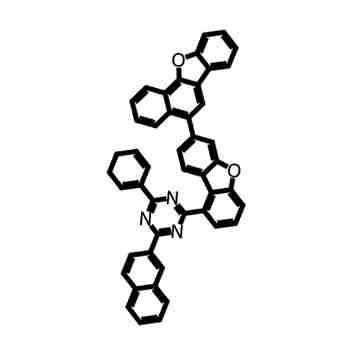 C1=CC(c2nc(-c3ccc4ccccc4c3)nc(-c3cccc4oc5cc(-c6cc7c8ccccc8oc7c7ccccc67)ccc5c34)n2)=CCC1